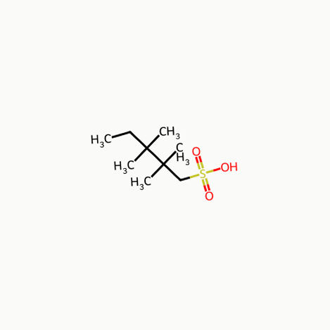 CCC(C)(C)C(C)(C)CS(=O)(=O)O